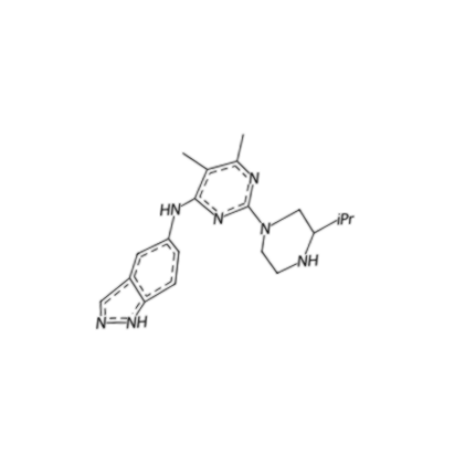 Cc1nc(N2CCNC(C(C)C)C2)nc(Nc2ccc3[nH]ncc3c2)c1C